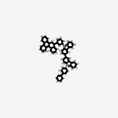 c1ccc(-c2ccc(-n3c4ccccc4c4cc(-c5ccc6c(c5)c5ccccc5n6-c5cccc(-c6cc7c8ccccc8c8ccccc8c7c7ccccc67)c5)ccc43)cc2)cc1